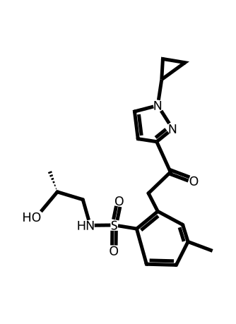 Cc1ccc(S(=O)(=O)NC[C@@H](C)O)c(CC(=O)c2ccn(C3CC3)n2)c1